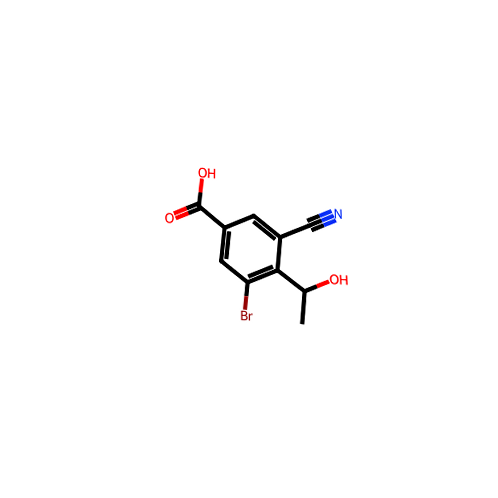 CC(O)c1c(Br)cc(C(=O)O)cc1C#N